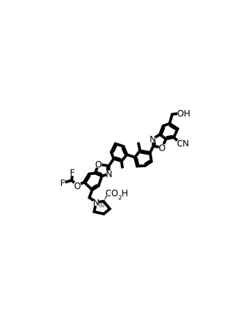 Cc1c(-c2nc3cc(CN4CCC[C@H]4C(=O)O)c(OC(F)F)cc3o2)cccc1-c1cccc(-c2nc3cc(CO)cc(C#N)c3o2)c1C